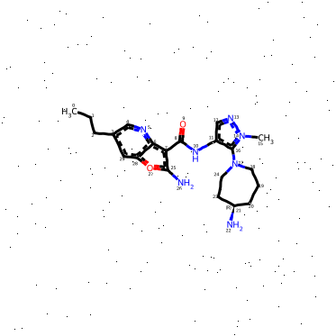 CCCc1cnc2c(C(=O)Nc3cnn(C)c3N3CCC[C@@H](N)CC3)c(N)oc2c1